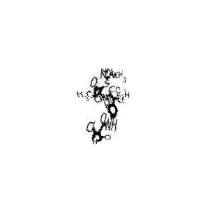 CCC(c1ccc(NC(=O)c2c(Cl)cncc2Cl)cc1)[C@H](NC1=C(Sc2nnnn2C)C(=O)C1(C)C)C(=O)O